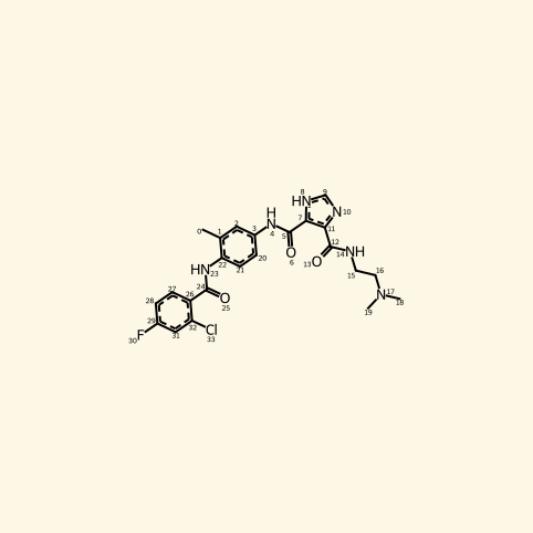 Cc1cc(NC(=O)c2[nH]cnc2C(=O)NCCN(C)C)ccc1NC(=O)c1ccc(F)cc1Cl